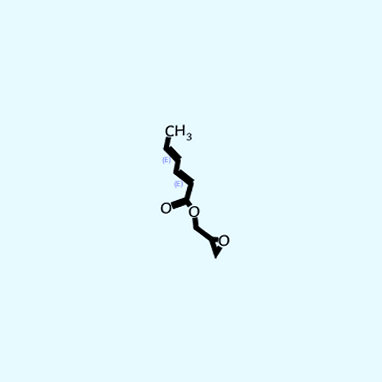 C/C=C/C=C/C(=O)OCC1CO1